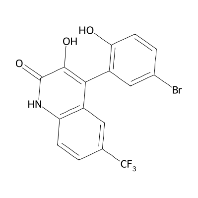 O=c1[nH]c2ccc(C(F)(F)F)cc2c(-c2cc(Br)ccc2O)c1O